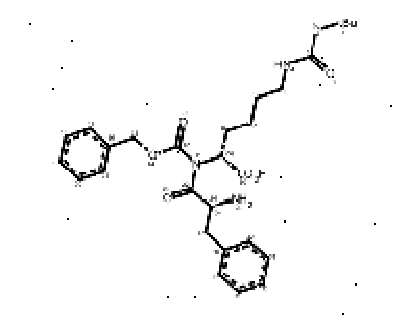 CC(C)(C)OC(=O)NCCCC[C@@H](C(=O)O)N(C(=O)OCc1ccccc1)C(=O)[C@@H](N)Cc1ccccc1